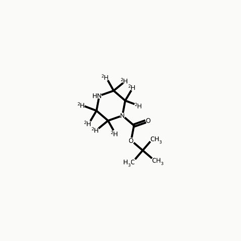 [2H]C1([2H])NC([2H])([2H])C([2H])([2H])N(C(=O)OC(C)(C)C)C1([2H])[2H]